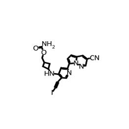 N#Cc1cnn2c(-c3cc(NC4CC(COC(N)=O)C4)c(C#CI)cn3)ccc2c1